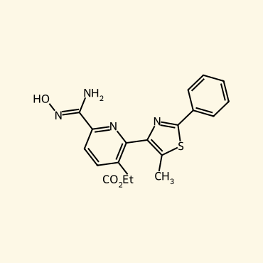 CCOC(=O)c1ccc(/C(N)=N/O)nc1-c1nc(-c2ccccc2)sc1C